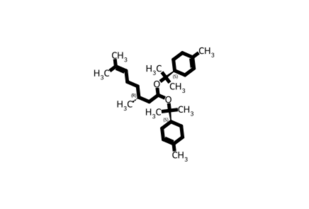 CC(C)=CCC[C@@H](C)CC(OC(C)(C)[C@@H]1CC=C(C)CC1)OC(C)(C)[C@@H]1CC=C(C)CC1